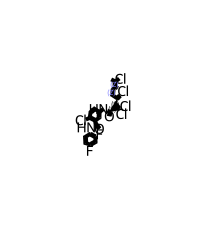 C=C(/C=C\C(Cl)=C(/C)Cl)[C@@H]1[C@@H](C(=O)Nc2ccc(Cl)c(C(=O)Nc3ccc(F)cc3F)c2)C1(Cl)Cl